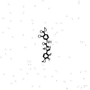 COC(=O)c1ccc(NC(=O)c2ncc(-c3ccc(OC)c(F)c3F)n2C)cc1Cl